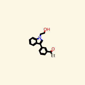 CCC(=O)c1cccc(-c2cn(CCO)c3ccccc23)c1